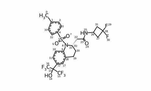 Cc1ccc(S(=O)(=O)N2c3ccc(C(O)(C(F)(F)F)C(F)(F)F)cc3CC[C@H]2CC(=O)NC2CC(F)(F)C2)cc1